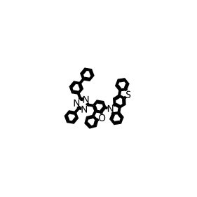 c1ccc(-c2cccc(-c3nc(-c4ccccc4)nc(-c4ccc(-n5c6ccccc6c6cc7sc8ccccc8c7cc65)c5oc6ccccc6c45)n3)c2)cc1